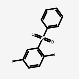 O=S(=O)(c1ccccc1)c1cc(I)ccc1I